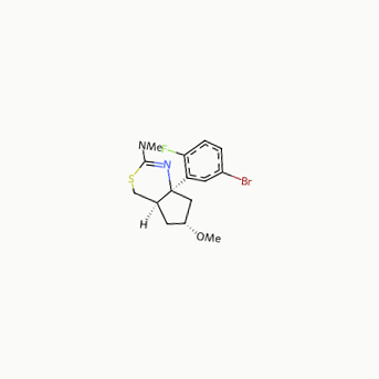 CNC1=N[C@@]2(c3cc(Br)ccc3F)C[C@H](OC)C[C@H]2CS1